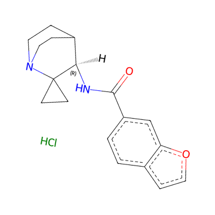 Cl.O=C(N[C@@H]1C2CCN(CC2)C12CC2)c1ccc2ccoc2c1